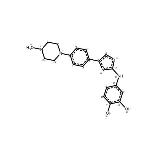 CN1CCN(c2ccc(-c3csc(Nc4ccc(O)c(O)c4)n3)cc2)CC1